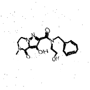 CN1CCn2nc(C(=O)N(CCO)Cc3ccccc3)c(O)c2C1=O